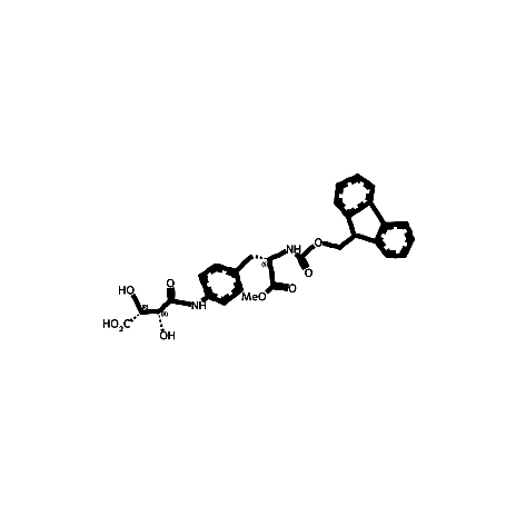 COC(=O)[C@H](Cc1ccc(NC(=O)[C@H](O)[C@@H](O)C(=O)O)cc1)NC(=O)OCC1c2ccccc2-c2ccccc21